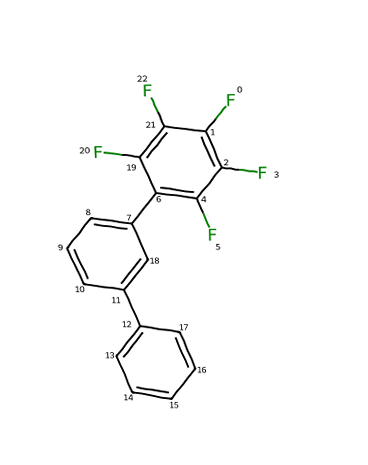 Fc1c(F)c(F)c(-c2cccc(-c3ccccc3)c2)c(F)c1F